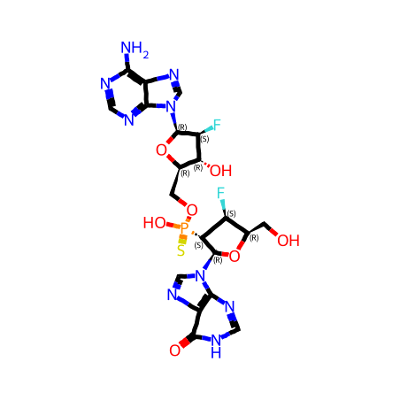 Nc1ncnc2c1ncn2[C@@H]1O[C@H](COP(O)(=S)[C@@H]2[C@@H](F)[C@@H](CO)O[C@H]2n2cnc3c(=O)[nH]cnc32)[C@@H](O)[C@@H]1F